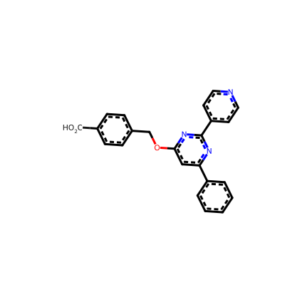 O=C(O)c1ccc(COc2cc(-c3ccccc3)nc(-c3ccncc3)n2)cc1